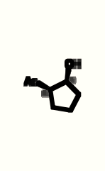 CC(=O)[C@@H]1CCC[C@@H]1O